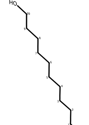 CC(=O)CCCCCCCCCCO